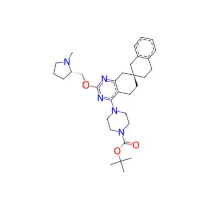 CN1CCC[C@H]1COc1nc2c(c(N3CCN(C(=O)OC(C)(C)C)CC3)n1)CC[C@@]1(CCc3ccccc3C1)C2